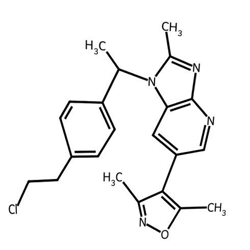 Cc1noc(C)c1-c1cnc2nc(C)n(C(C)c3ccc(CCCl)cc3)c2c1